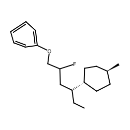 CCC(CC(F)COc1ccccc1)[C@H]1CC[C@H](C)CC1